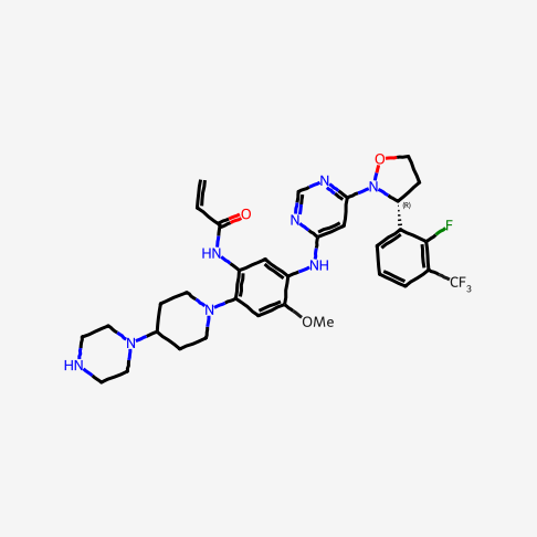 C=CC(=O)Nc1cc(Nc2cc(N3OCC[C@@H]3c3cccc(C(F)(F)F)c3F)ncn2)c(OC)cc1N1CCC(N2CCNCC2)CC1